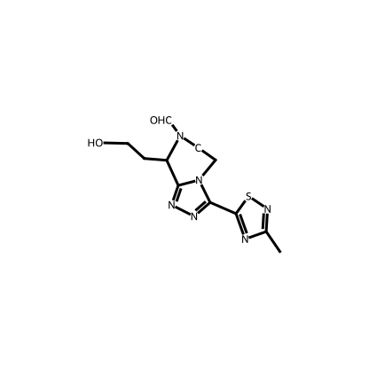 Cc1nsc(-c2nnc3n2CCN(C=O)C3CCO)n1